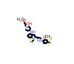 COCC(O)CN1CCC(Nc2cccc3c2cc(C#CCNc2ccc(C(F)(F)F)cc2OC)n3CC(F)(F)F)CC1